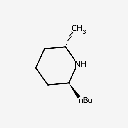 CCCC[C@H]1CCC[C@H](C)N1